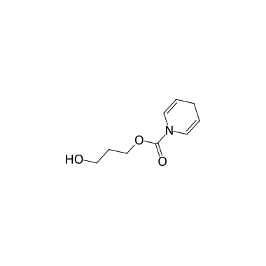 O=C(OCCCO)N1C=CCC=C1